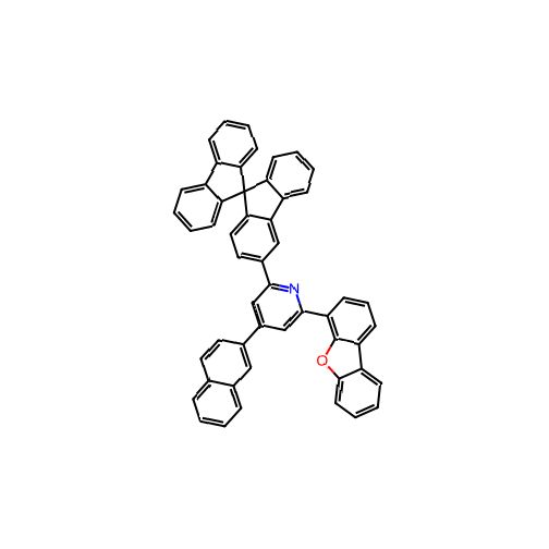 c1ccc2c(c1)-c1ccccc1C21c2ccccc2-c2cc(-c3cc(-c4ccc5ccccc5c4)cc(-c4cccc5c4oc4ccccc45)n3)ccc21